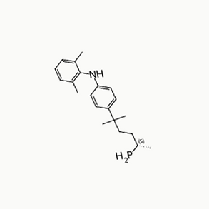 Cc1cccc(C)c1Nc1ccc(C(C)(C)CC[C@H](C)P)cc1